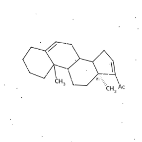 CC(=O)C1=CCC2C3CC=C4CCCCC4(C)C3CC[C@]12C